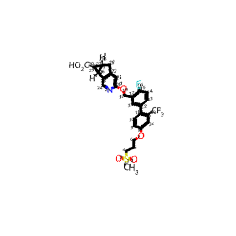 CS(=O)(=O)CCCOc1ccc(-c2ccc(F)c(COc3cc4c(cn3)[C@H]3[C@@H](C4)[C@@H]3C(=O)O)c2)c(C(F)(F)F)c1